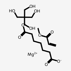 C=CC(=O)OC.O=C([O-])CCCCCC(=O)[O-].OCC(CO)(CO)CO.[Mg+2]